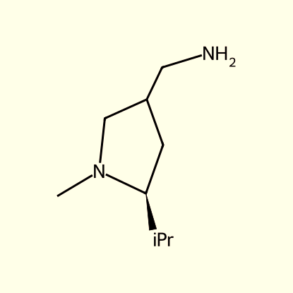 CC(C)[C@@H]1CC(CN)CN1C